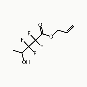 C=CCOC(=O)C(F)(F)C(F)(F)C(C)O